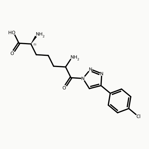 NC(CCC[C@H](N)C(=O)O)C(=O)n1cc(-c2ccc(Cl)cc2)nn1